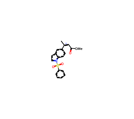 COC(=O)/C=C(/C)c1ccc2c(ccn2S(=O)(=O)c2ccccc2)c1